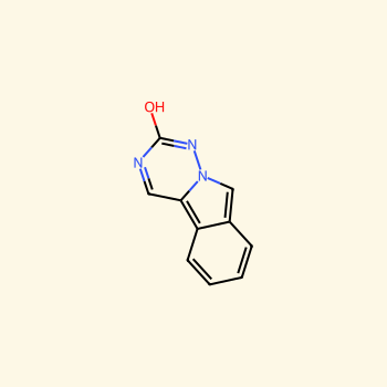 Oc1ncc2c3ccccc3cn2n1